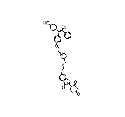 CCC(=C(c1ccc(O)cc1)c1ccc(OCCN2CCC(CCCCc3ccc4c(n3)CN(C3CCC(=O)NC3=O)C4=O)C2)cc1)c1ccccc1